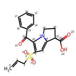 C=CCS(=O)(=O)c1cc2n(c1C(=O)c1ccccc1)CCC2C(=O)O